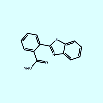 COC(=O)c1ccccc1-c1nc2ccccc2s1